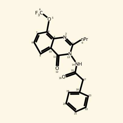 CCCc1nc2c(OC(F)(F)F)cccc2c(=O)n1NC(=O)Cc1ccccc1